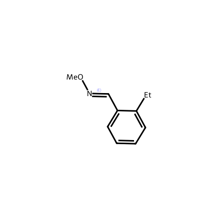 CCc1ccccc1/C=N/OC